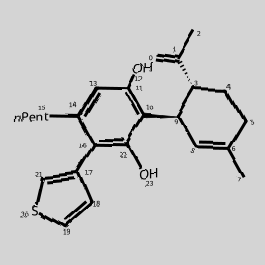 C=C(C)[C@@H]1CCC(C)=C[C@H]1c1c(O)cc(CCCCC)c(-c2ccsc2)c1O